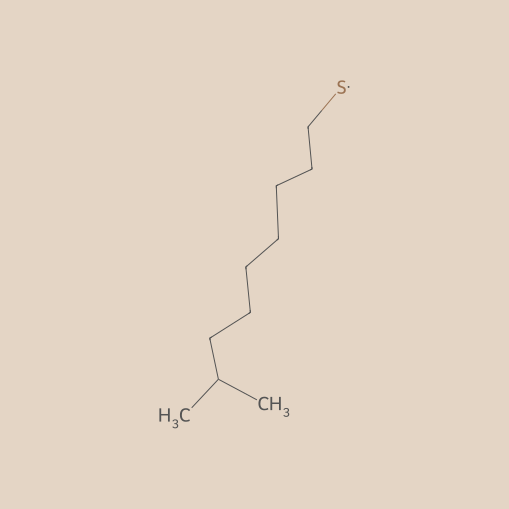 CC(C)CCCCCCC[S]